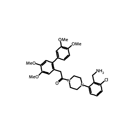 COc1ccc(-c2cc(OC)c(OC)cc2CC(=O)N2CCN(c3cccc(Cl)c3CN)CC2)cc1OC